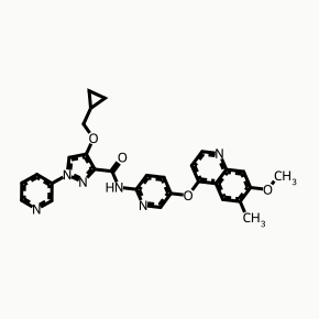 COc1cc2nccc(Oc3ccc(NC(=O)c4nn(-c5cccnc5)cc4OCC4CC4)nc3)c2cc1C